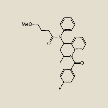 COCCCC(=O)N(c1ccccc1)C1CC(C)N(C(=O)c2ccc(F)cc2)c2ccccc21